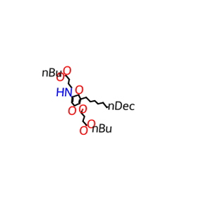 CCCCCCCCCCCCCCCCC1=C(OCCCC(=O)OCCCC)C(=O)C=C(NCCCC(=O)OCCCC)C1=O